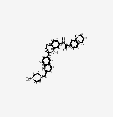 CCN1CCN(Cc2ccc3cc(C(=O)Nc4cc(NC(=O)c5ccc6c(c5)OCCC6)ccc4F)ccc3n2)CC1